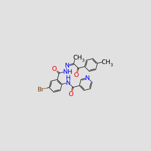 CC(=NNC(=O)c1cc(Br)ccc1NC(=O)c1cccnc1)C(=O)c1ccc(C)cc1